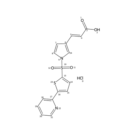 Cl.O=C(O)C=Cc1ccn(S(=O)(=O)c2ccc(-c3ccccn3)s2)c1